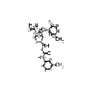 Cc1cccc(NC(=O)CNC2CC3CC2C(Nc2nc(C)ncc2F)C3C(N)=O)c1